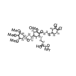 CCCC(=O)N(O)C=CCc1cc(C2COC(c3cc(OC)c(OC)c(OC)c3)C2)cc(OC)c1OCCSc1ccc(Cl)c(Cl)c1